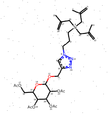 C=C(C)C[Si](CCCn1cc(COC2OC(COC(C)=O)C(OC(C)=O)C(OC(C)=O)C2OC(C)=O)nn1)(CC(=C)C)CC(=C)C